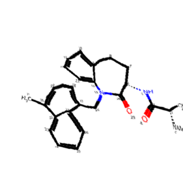 CN[C@@H](C)C(=O)N[C@H]1CCc2ccccc2N(Cc2ccc(C)c3ccccc23)C1=O